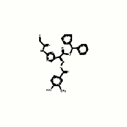 CC(=O)Oc1ccc(C(=O)ON=C(C(=O)OC(c2ccccc2)c2ccccc2)c2coc(NC(=O)CCl)n2)cc1OC(C)=O